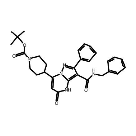 CC(C)(C)OC(=O)N1CCC(c2cc(=O)[nH]c3c(C(=O)NCc4ccccc4)c(-c4ccccc4)nn23)CC1